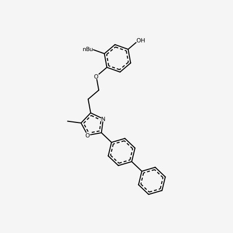 CCCCc1cc(O)ccc1OCCc1nc(-c2ccc(-c3ccccc3)cc2)oc1C